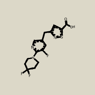 O=C(O)c1cc(Cc2cnc(N3CCC(F)(F)CC3)c(F)c2)ns1